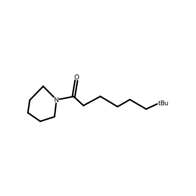 CC(C)(C)CCCCCC(=O)N1CCCCC1